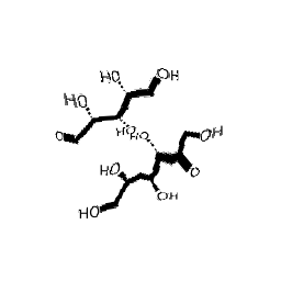 O=C(CO)[C@@H](O)[C@@H](O)[C@H](O)CO.O=C[C@H](O)[C@@H](O)[C@H](O)CO